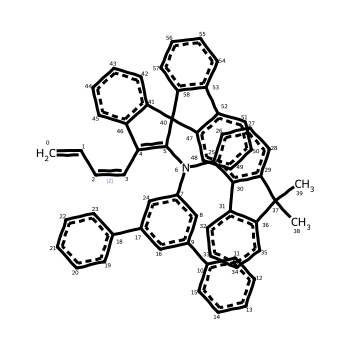 C=C/C=C\C1=C(N(c2cc(-c3ccccc3)cc(-c3ccccc3)c2)c2cccc3c2-c2ccccc2C3(C)C)C2(c3ccccc31)c1ccccc1-c1ccccc12